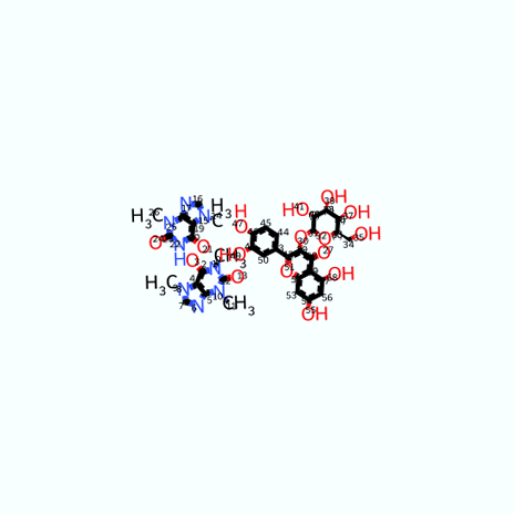 Cn1c(=O)c2c(ncn2C)n(C)c1=O.Cn1cnc2c1c(=O)[nH]c(=O)n2C.O=c1c(OC2O[C@H](CO)[C@H](O)[C@H](O)[C@H]2O)c(-c2ccc(O)c(O)c2)oc2cc(O)cc(O)c12